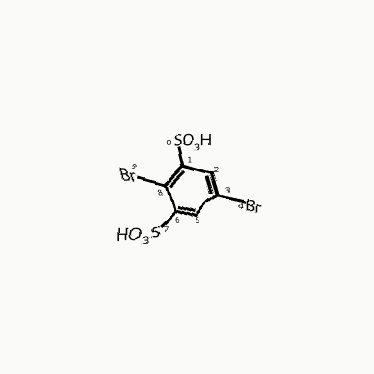 O=S(=O)(O)c1cc(Br)cc(S(=O)(=O)O)c1Br